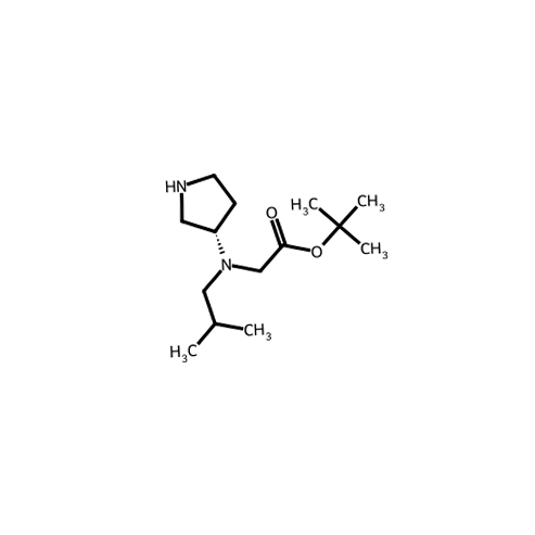 CC(C)CN(CC(=O)OC(C)(C)C)[C@H]1CCNC1